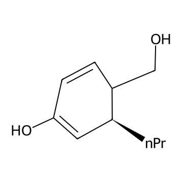 CCC[C@H]1C=C(O)C=CC1CO